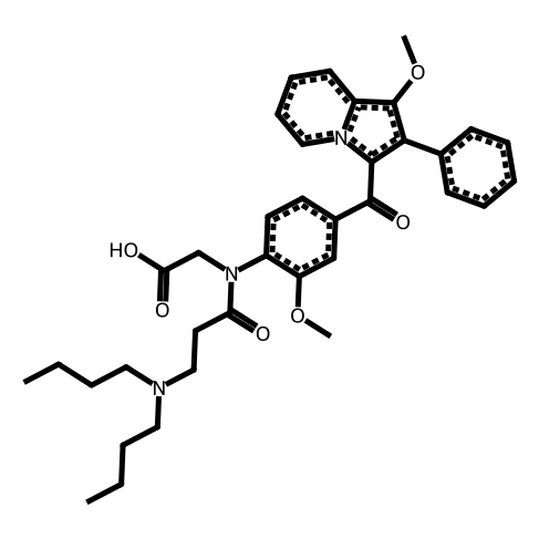 CCCCN(CCCC)CCC(=O)N(CC(=O)O)c1ccc(C(=O)c2c(-c3ccccc3)c(OC)c3ccccn23)cc1OC